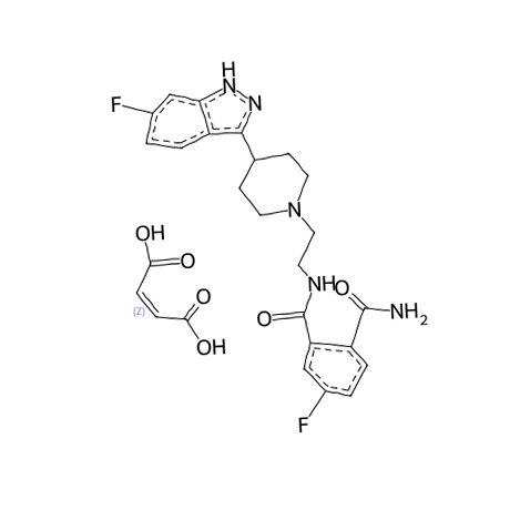 NC(=O)c1ccc(F)cc1C(=O)NCCN1CCC(c2n[nH]c3cc(F)ccc23)CC1.O=C(O)/C=C\C(=O)O